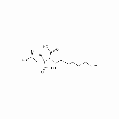 CCCCCCCCC(C(=O)O)C(O)(CC(=O)O)C(=O)O